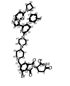 O=C1CCC(N2C(=O)c3cc(CN4CCC(N5CCN(c6cccc(-c7cnc8ccc(N9CCC[C@@H]9c9cccc(F)c9)nn78)n6)CC5)CC4)cc(Br)c3C2=O)C(=O)N1